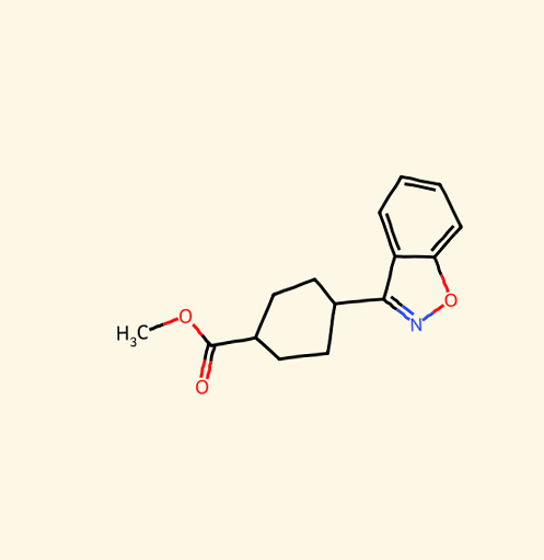 COC(=O)C1CCC(c2noc3ccccc23)CC1